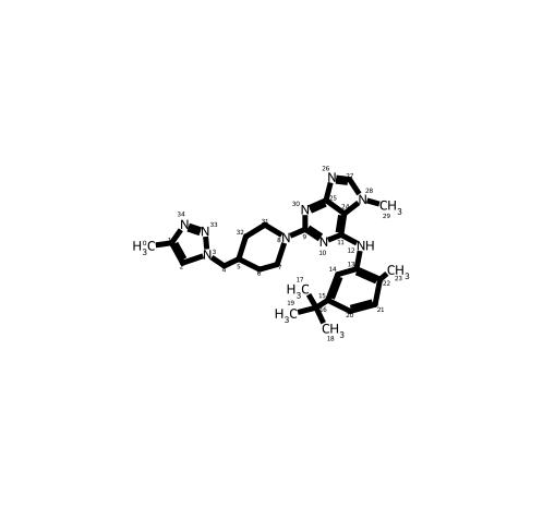 Cc1cn(CC2CCN(c3nc(Nc4cc(C(C)(C)C)ccc4C)c4c(ncn4C)n3)CC2)nn1